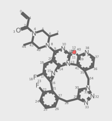 C=CC(=O)N1CC(C)N(c2nc(=O)n3c4nc(c(F)cc24)-c2c(F)cccc2Cc2cn(nn2)Cc2ccnc(C(C)C)c2-3)CC1C